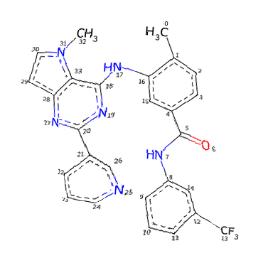 Cc1ccc(C(=O)Nc2cccc(C(F)(F)F)c2)cc1Nc1nc(-c2cccnc2)nc2ccn(C)c12